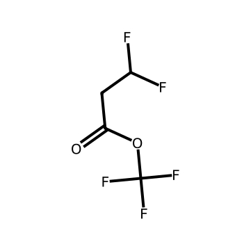 O=C(CC(F)F)OC(F)(F)F